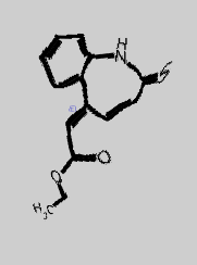 CCOC(=O)/C=C1\C=CC(=S)Nc2ccccc21